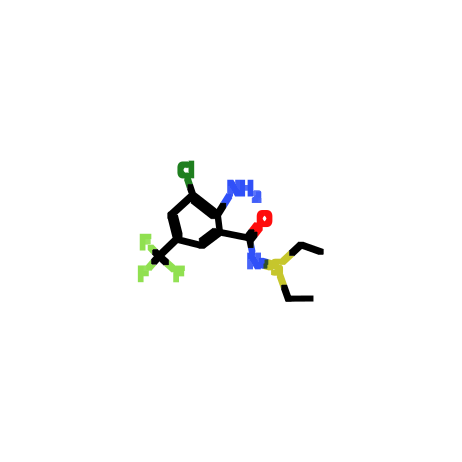 CCS(CC)=NC(=O)c1cc(C(F)(F)F)cc(Cl)c1N